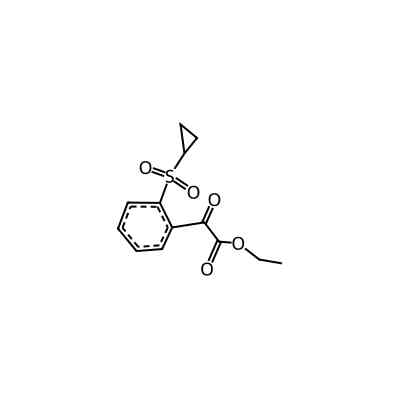 CCOC(=O)C(=O)c1ccccc1S(=O)(=O)C1CC1